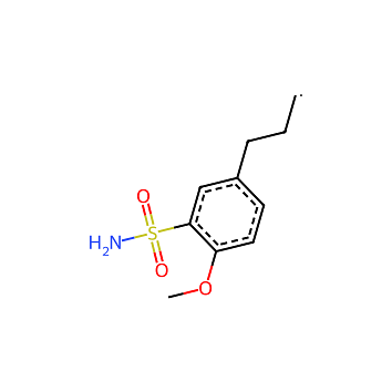 [CH2]CCc1ccc(OC)c(S(N)(=O)=O)c1